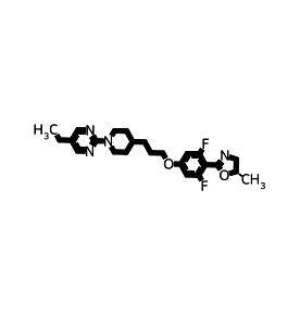 CCc1cnc(N2CCC(CCCOc3cc(F)c(C4=NC[C@H](C)O4)c(F)c3)CC2)nc1